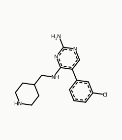 Nc1ncc(-c2cccc(Cl)c2)c(NCC2CCNCC2)n1